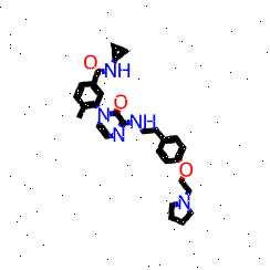 Cc1ccc(C(=O)NC2CC2)cc1-n1ccnc(NCCc2ccc(OCCN3CCCC3)cc2)c1=O